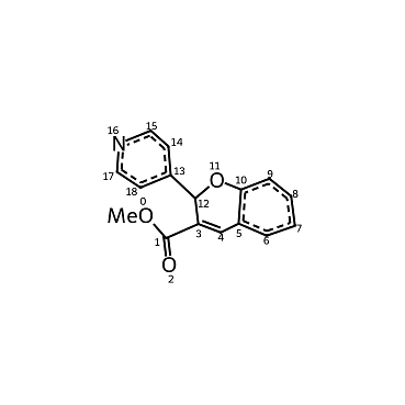 COC(=O)C1=Cc2ccccc2OC1c1ccncc1